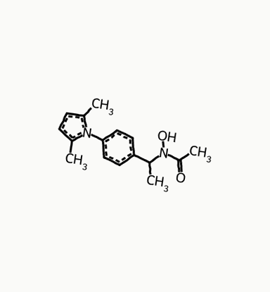 CC(=O)N(O)C(C)c1ccc(-n2c(C)ccc2C)cc1